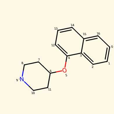 c1ccc2c(OC3CC[N]CC3)cccc2c1